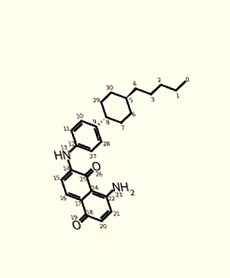 CCCCC[C@H]1CC[C@H](c2ccc(NC3=CC=C4C(=O)C=CC(N)=C4C3=O)cc2)CC1